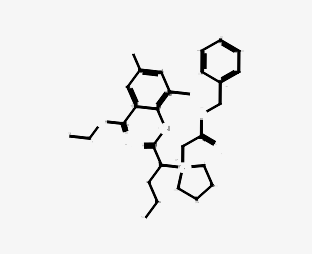 CCCC(C(=O)Nc1c(C)cc(Cl)cc1C(=O)OCC)[N+]1(CC(=O)OCc2ccccc2)CCCC1